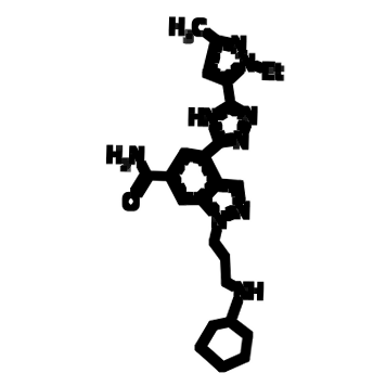 CCn1nc(C)cc1-c1nnc(-c2cc(C(N)=O)cc3c2cnn3CCCNC2CCCCC2)[nH]1